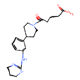 O=C(O)CCCC(=O)N1CCC(c2cccc(NC3=NCCCN3)c2)CC1